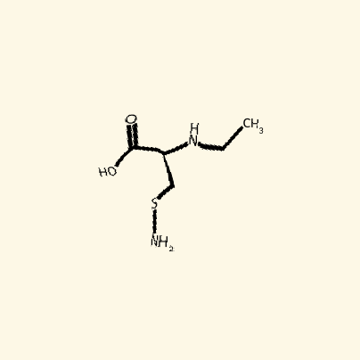 CCN[C@@H](CSN)C(=O)O